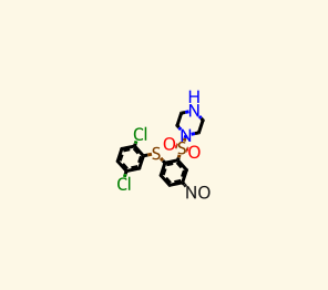 O=Nc1ccc(Sc2cc(Cl)ccc2Cl)c(S(=O)(=O)N2CCNCC2)c1